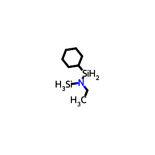 CCN([SiH3])[SiH2]C1CCCCC1